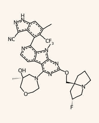 Cc1cc2[nH]nc(C#N)c2c(-c2nccc3c4c(N5CCOC[C@@](C)(O)C5)nc(OC[C@@]56CCCN5C[C@H](F)C6)nc4n(C)c23)c1C(F)(F)F